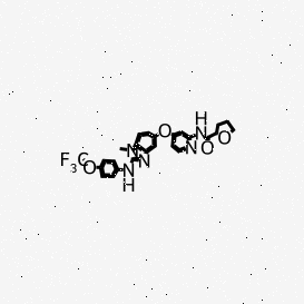 Cn1c(Nc2ccc(OC(F)(F)F)cc2)nc2cc(Oc3ccnc(NC(=O)C4CCCO4)c3)ccc21